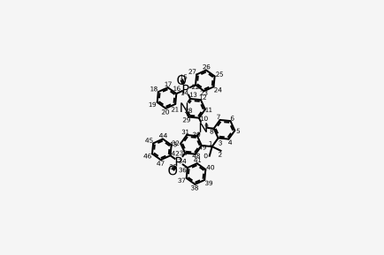 CC1(C)c2ccccc2N(c2ccc(P(=O)(c3ccccc3)c3ccccc3)nc2)c2ccc(P(=O)(c3ccccc3)c3ccccc3)cc21